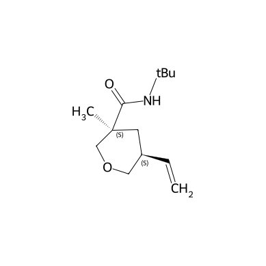 C=C[C@H]1COC[C@@](C)(C(=O)NC(C)(C)C)C1